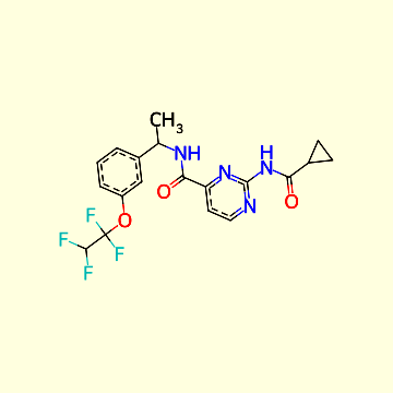 CC(NC(=O)c1ccnc(NC(=O)C2CC2)n1)c1cccc(OC(F)(F)C(F)F)c1